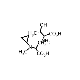 CC(C(=O)O)N(C)C1CC1.C[C@H](O)[C@H](N)C(=O)O